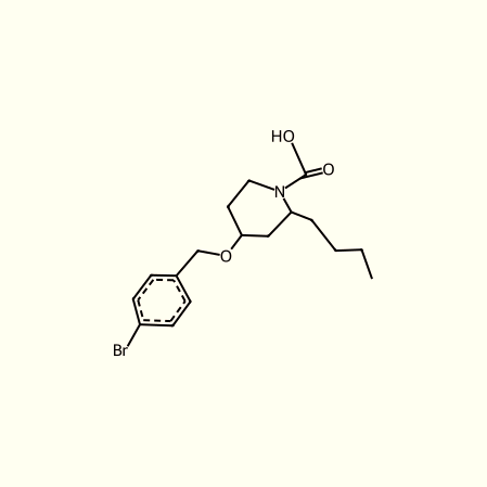 CCCCC1CC(OCc2ccc(Br)cc2)CCN1C(=O)O